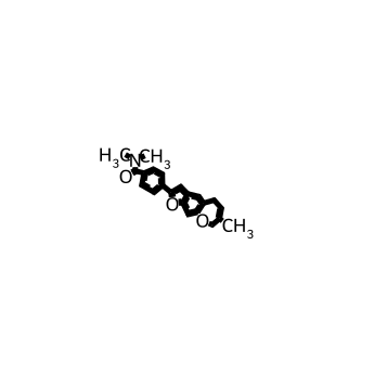 CC1=CCc2cc3cc(-c4ccc(C(=O)N(C)C)cc4)oc3cc2OC1